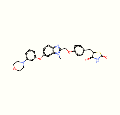 Cn1c(COc2ccc(CC3SC(=O)NC3=O)cc2)nc2ccc(Oc3cccc(N4CCOCC4)c3)cc21